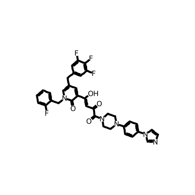 O=C(C=C(O)c1cc(Cc2cc(F)c(F)c(F)c2)cn(Cc2ccccc2F)c1=O)C(=O)N1CCN(c2ccc(-n3ccnc3)cc2)CC1